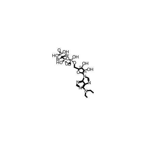 CCN(CC)c1ncnc2c1ncn2C1OC(COP(=O)(O)OP(=O)(O)C(Br)(Br)P(=O)(O)O)[C@@H](O)[C@H]1O